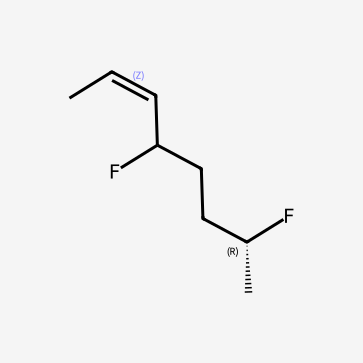 C/C=C\C(F)CC[C@@H](C)F